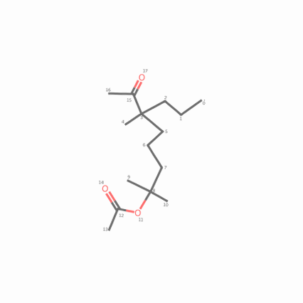 [CH2]CCC(C)(CCCC(C)(C)OC(C)=O)C(C)=O